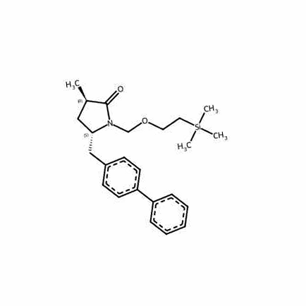 C[C@@H]1C[C@@H](Cc2ccc(-c3ccccc3)cc2)N(COCC[Si](C)(C)C)C1=O